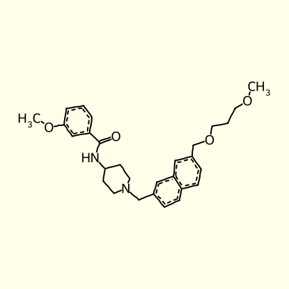 COCCCOCc1ccc2ccc(CN3CCC(NC(=O)c4cccc(OC)c4)CC3)cc2c1